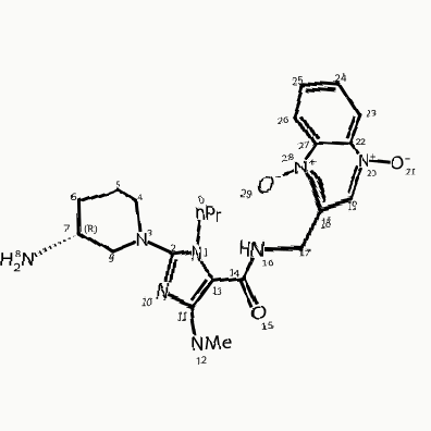 CCCn1c(N2CCC[C@@H](N)C2)nc(NC)c1C(=O)NCc1c[n+]([O-])c2ccccc2[n+]1[O-]